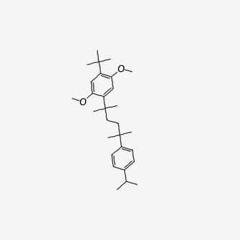 COc1cc(C(C)(C)CCC(C)(C)c2ccc(C(C)C)cc2)c(OC)cc1C(C)(C)C